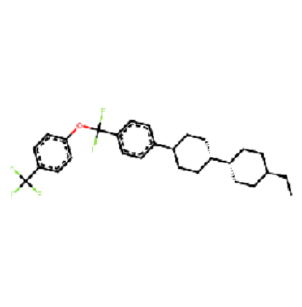 CC[C@H]1CC[C@H]([C@H]2CC[C@H](c3ccc(C(F)(F)Oc4ccc(C(F)(F)F)cc4)cc3)CC2)CC1